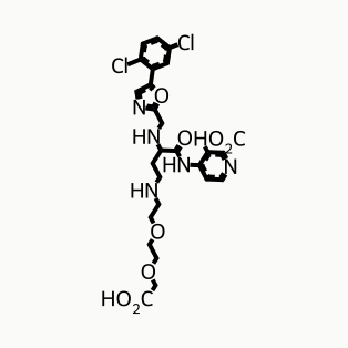 O=C(O)COCCOCCNCCC(NCc1ncc(-c2cc(Cl)ccc2Cl)o1)C(=O)Nc1ccncc1C(=O)O